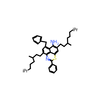 CC(C)CCCC(C)CCc1cc2c3c(c(CCC(C)CCCC(C)C)cc(Cc4ccccc4)c3c1N)N=C(c1ccccc1)S2